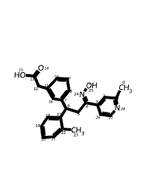 Cc1cc(C(CC(c2cccc(CC(=O)O)c2)c2ccccc2C)=NO)ccn1